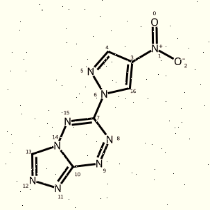 O=[N+]([O-])c1cnn(-c2nnc3nncn3n2)c1